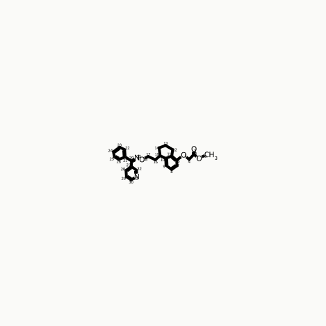 COC(=O)COc1cccc2c1CCCC2CCO/N=C(/c1ccccc1)c1cccnc1